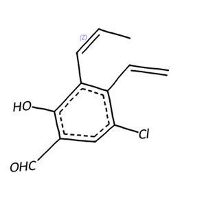 C=Cc1c(Cl)cc(C=O)c(O)c1/C=C\C